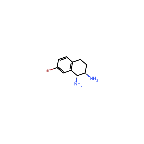 N[C@@H]1CCc2ccc(Br)cc2[C@@H]1N